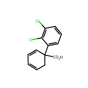 O=C(O)C1(c2cccc(Cl)c2Cl)C=CC=CC1